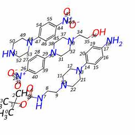 CC(C)(C)OC(=O)NCCN1CCN(c2ccc(N)cc2)CC1.O=[N+]([O-])c1ccc(N2CCN(CCO)CC2)cc1.O=[N+]([O-])c1ccc(N2CCNCC2)cc1